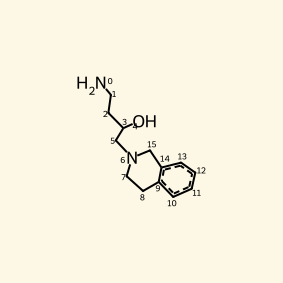 NCCC(O)CN1CCc2ccccc2C1